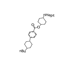 CCCCCCCC1CCC(OC(=O)c2ccc(C3CCC(CCCC)CC3)cc2)CC1